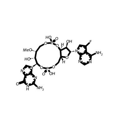 CO[C@@H]1COP(=O)(O)O[C@H]2[C@@H](O)[C@H](n3cc(F)c4c(N)ncnc43)O[C@@H]2COP(=O)(O)O[C@@H](n2cnc3c(=O)[nH]c(N)nc32)[C@@H]1O